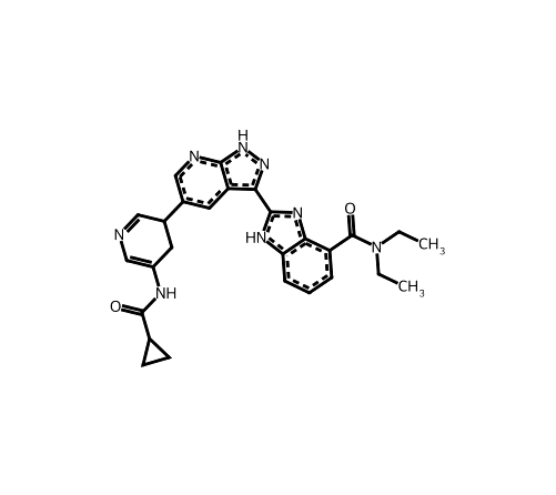 CCN(CC)C(=O)c1cccc2[nH]c(-c3n[nH]c4ncc(C5C=NC=C(NC(=O)C6CC6)C5)cc34)nc12